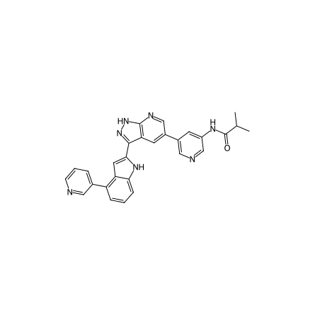 CC(C)C(=O)Nc1cncc(-c2cnc3[nH]nc(-c4cc5c(-c6cccnc6)cccc5[nH]4)c3c2)c1